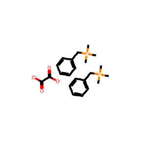 C[P+](C)(C)Cc1ccccc1.C[P+](C)(C)Cc1ccccc1.O=C([O-])C(=O)[O-]